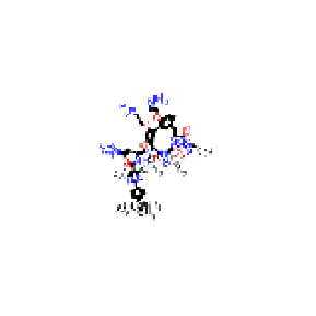 Cc1nc(-c2ccc([Si](C)(C)C)cc2)nc(C)c1C(=O)N[C@@H](CCN)C(=O)N(C)[C@@H]1C(=O)N[C@@H](C)C(=O)N[C@H](C(=O)NCC#N)Cc2ccc(OCCN)c(c2)-c2cc1ccc2OCCN